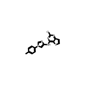 Cc1ccc(-n2cnc(Nc3nc(Cl)nc4ccsc34)c2)cc1